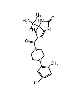 Cc1ccc(Cl)cc1N1CCN(C(=O)CCC2(C(C)(C)N)NC(=O)NC2=O)CC1